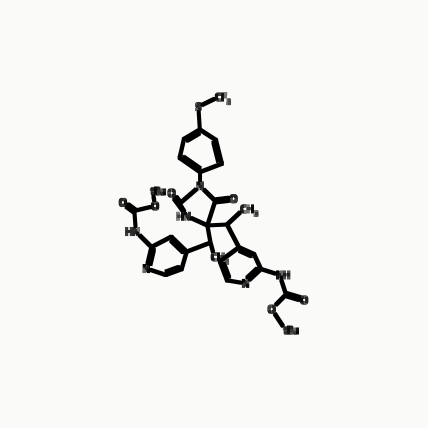 CC(c1ccnc(NC(=O)OC(C)(C)C)c1)C1(C(C)c2ccnc(NC(=O)OC(C)(C)C)c2)NC(=O)N(c2ccc(SC(F)(F)F)cc2)C1=O